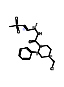 C[C@@H](/C=C/S(C)(=O)=O)NC(=O)N1CC[C@@H](CCl)C[C@H]1c1ccccc1